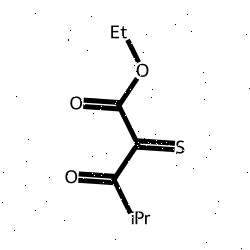 CCOC(=O)C(=S)C(=O)C(C)C